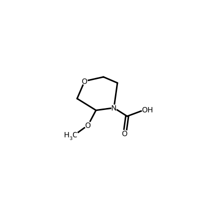 COC1COCCN1C(=O)O